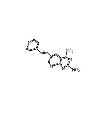 Nc1nc(N)c2cc(/C=C/c3ccncc3)cnc2n1